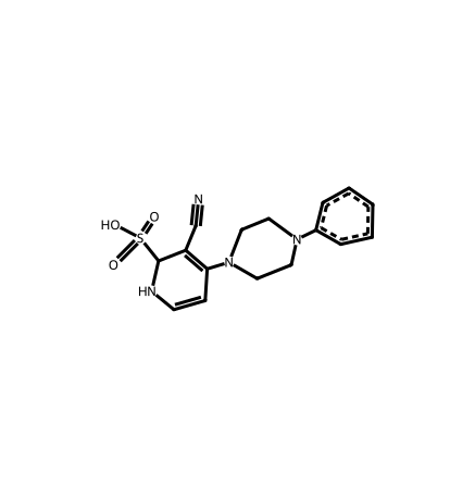 N#CC1=C(N2CCN(c3ccccc3)CC2)C=CNC1S(=O)(=O)O